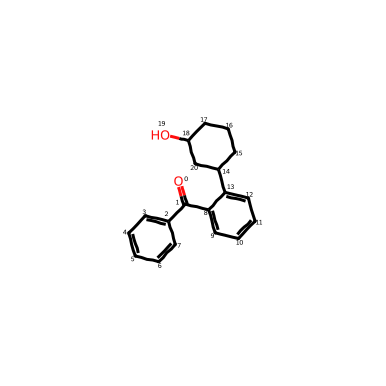 O=C(c1ccccc1)c1ccccc1C1CCCC(O)C1